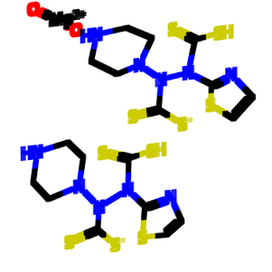 S=C(S)N(c1nccs1)N(C(=S)[S-])N1CCNCC1.S=C(S)N(c1nccs1)N(C(=S)[S-])N1CCNCC1.[O]=[Mo+2]=[O]